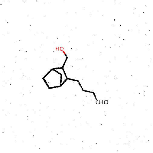 O=CCCCC1C2CCC(C2)C1CO